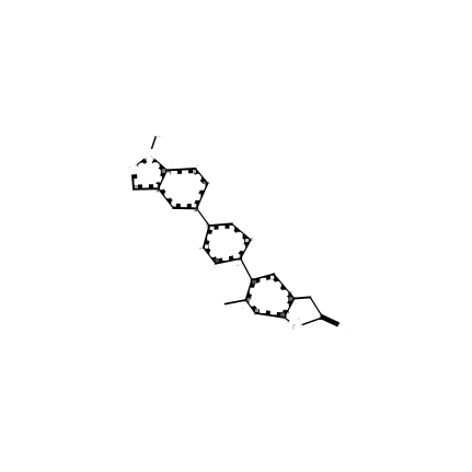 Cn1ncc2cc(-c3ccc(-c4cc5c(cc4F)NC(=O)C5)cc3)ccc21